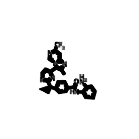 Cc1nc2cc(C(F)(F)F)ncn2c1-c1ccnc(C2(c3ccc(C(=O)Nc4ccccc4N)cc3)CC2)n1